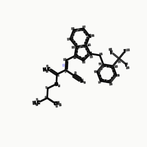 C=C(OCC(C)C)/C(C#N)=C/c1cn(Cc2ccccc2C(F)(F)F)c2ncccc12